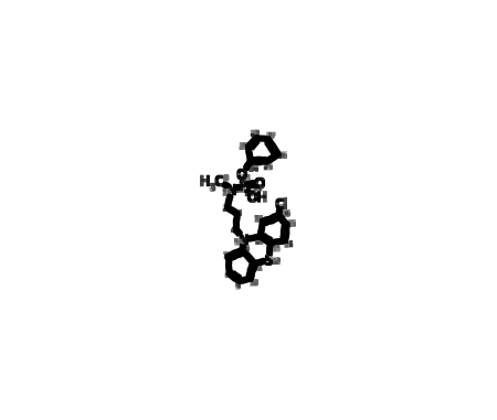 CN(CCCN1c2ccccc2Sc2ccc(Cl)cc21)P(=O)(O)Oc1ccccc1